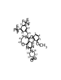 COc1ccccc1-c1nc(N2CCS(=O)(=O)CC2)nc2c1C(=O)N(Cc1cc(C(F)(F)F)cc(C(F)(F)F)c1)CCCO2